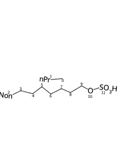 CCCC.CCCCCCCCCCCCCCCCOS(=O)(=O)O